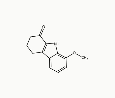 COc1cccc2c3c([nH]c12)C(=O)CCC3